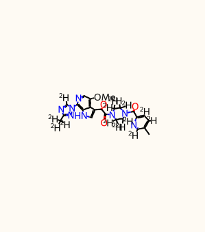 [2H]c1nc(C(=O)N2C([2H])([2H])C([2H])([2H])N(C(=O)C(=O)c3c[nH]c4c(-n5nc(C([2H])([2H])[2H])nc5[2H])ncc(OC)c34)C([2H])([2H])C2([2H])[2H])c([2H])c([2H])c1C